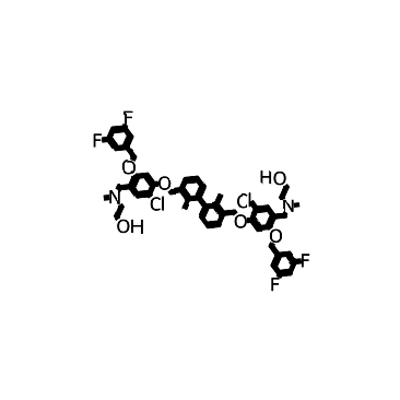 Cc1c(COc2cc(OCc3cc(F)cc(F)c3)c(CN(C)CCO)cc2Cl)cccc1-c1cccc(COc2cc(OCc3cc(F)cc(F)c3)c(CN(C)CCO)cc2Cl)c1C